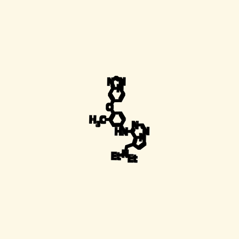 CCN(CC)Cc1ccn2ncnc(Nc3ccc(Oc4ccn5ncnc5c4)c(C)c3)c12